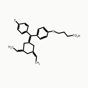 C/C=C1\C/C(=C(\c2ccc(F)cc2)c2ccc(OCCCC(=O)O)cc2)C/C(=C/C)C1